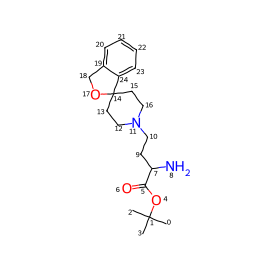 CC(C)(C)OC(=O)C(N)CCN1CCC2(CC1)OCc1ccccc12